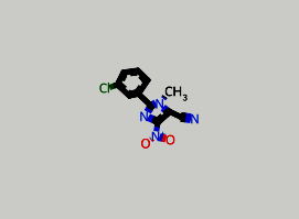 Cn1c(-c2cccc(Cl)c2)nc([N+](=O)[O-])c1C#N